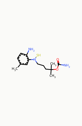 Cc1ccc(N)c(N(S)CCCC(C)(C)OC(N)=O)c1